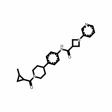 CC1CC1C(=O)N1CCC(c2ccc(NC(=O)C3CN(c4cccnc4)C3)cc2)CC1